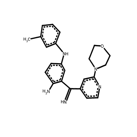 Cc1cccc(Nc2ccc(N)c(C(=N)c3ccnc(N4CCOCC4)c3)c2)c1